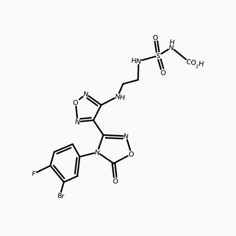 O=C(O)NS(=O)(=O)NCCNc1nonc1-c1noc(=O)n1-c1ccc(F)c(Br)c1